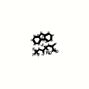 CC(=CC(F)(F)C(F)CC(F)(F)F)C(=O)O.c1ccc2c(c1)Cc1ccccc1-2